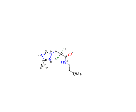 COCCNC(=O)C(F)(F)Cn1cnc([N+](=O)[O-])n1